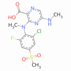 CNc1cnc(C(=O)O)c(N(C)c2c(F)cc(S(C)(=O)=O)cc2Cl)n1